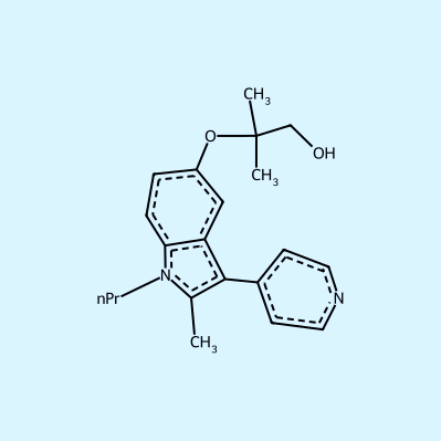 CCCn1c(C)c(-c2ccncc2)c2cc(OC(C)(C)CO)ccc21